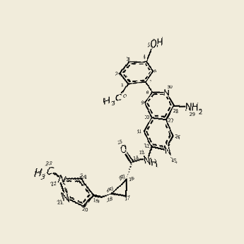 Cc1ccc(O)cc1-c1cc2cc(NC(=O)[C@@H]3C[C@H]3c3cnn(C)c3)ncc2c(N)n1